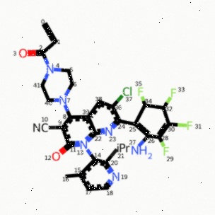 C=CC(=O)N1CCN(c2c(C#N)c(=O)n(-c3c(C)ccnc3C(C)C)c3nc(C4=C(N)C(F)=C(F)C(F)C4F)c(Cl)cc23)CC1